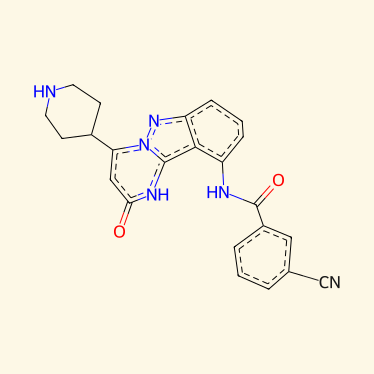 N#Cc1cccc(C(=O)Nc2cccc3nn4c(C5CCNCC5)cc(=O)[nH]c4c23)c1